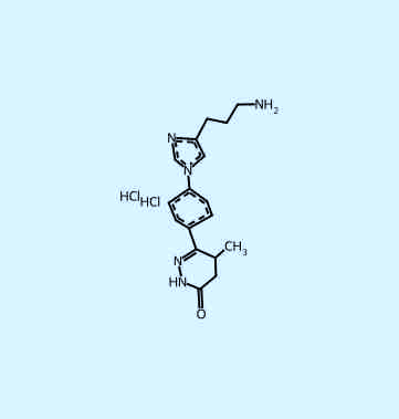 CC1CC(=O)NN=C1c1ccc(-n2cnc(CCCN)c2)cc1.Cl.Cl